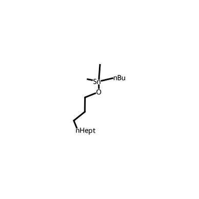 CCCCCCCCCC[O][Sn]([CH3])([CH3])[CH2]CCC